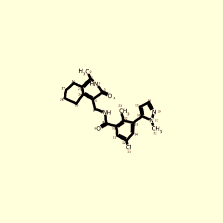 Cc1[nH]c(=O)c(CNC(=O)c2cc(Cl)cc(-c3ccnn3C)c2C)c2c1CCCC2